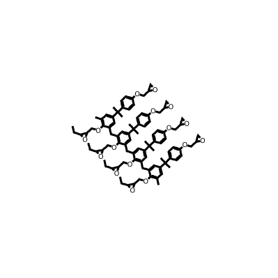 CCC1OC1COc1c(C)cc(C(C)(C)c2ccc(OCC3CO3)cc2)cc1Cc1cc(C(C)(C)c2ccc(OCC3CO3)cc2)cc(Cc2cc(C(C)(C)c3ccc(OCC4CO4)cc3)cc(Cc3cc(C(C)(C)c4ccc(OCC5CO5)cc4)cc(C)c3OCC3OC3CC)c2OCC2OC2CC)c1OCC1OC1CC